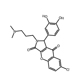 CN(C)CCCN1C(=O)c2oc3ccc(Cl)cc3c(=O)c2C1c1ccc(O)c(O)c1